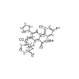 COC(=O)C1=C(CN2[C@@H]3CC[C@@]2(C(=O)O)COC3)NC(c2nccs2)=N[C@H]1c1ccc(F)cc1Cl